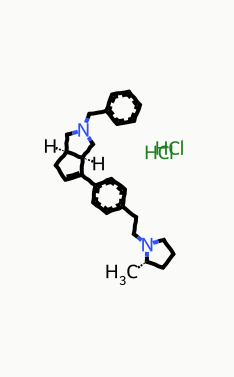 C[C@H]1CCCN1CCc1ccc(C2=CC[C@H]3CN(Cc4ccccc4)C[C@@H]23)cc1.Cl.Cl